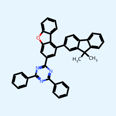 CC1(C)c2ccccc2-c2ccc(-c3cc(-c4nc(-c5ccccc5)nc(-c5ccccc5)n4)cc4oc5ccccc5c34)cc21